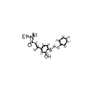 CCN(CC)C(=O)/C=C(\C)c1ccc(SCCc2ccccc2)c(O)c1